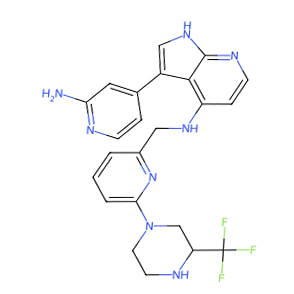 Nc1cc(-c2c[nH]c3nccc(NCc4cccc(N5CCNC(C(F)(F)F)C5)n4)c23)ccn1